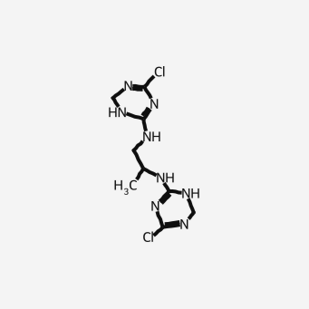 CC(CNC1=NC(Cl)=NCN1)NC1=NC(Cl)=NCN1